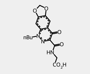 CCCCn1nc(C(=O)NCC(=O)O)c(=O)c2cc3c(cc21)OCO3